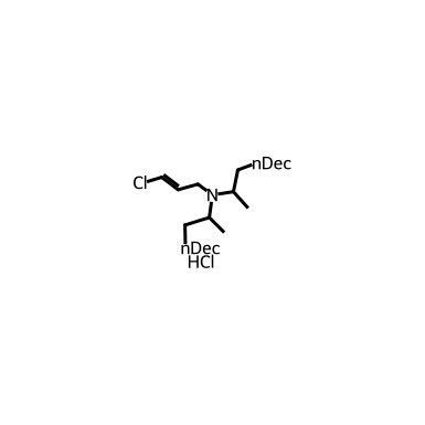 CCCCCCCCCCCC(C)N(C/C=C/Cl)C(C)CCCCCCCCCCC.Cl